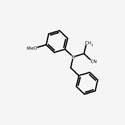 COc1cccc(N(Cc2ccccc2)C(C)C#N)c1